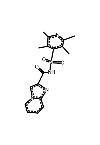 Cc1nc(C)c(C)c(S(=O)(=O)NC(=O)c2cn3ccccc3n2)c1C